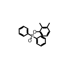 Cc1cccc(OP(=O)(c2ccccc2)c2ccccc2)c1C